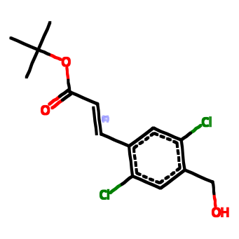 CC(C)(C)OC(=O)/C=C/c1cc(Cl)c(CO)cc1Cl